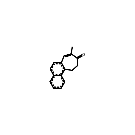 CC1=Cc2ccc3ccccc3c2CCC1=O